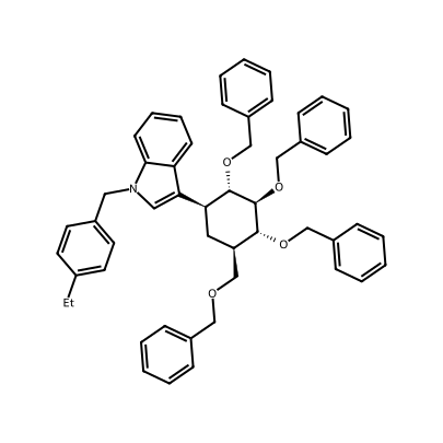 CCc1ccc(Cn2cc([C@@H]3C[C@H](COCc4ccccc4)[C@@H](OCc4ccccc4)[C@H](OCc4ccccc4)[C@H]3OCc3ccccc3)c3ccccc32)cc1